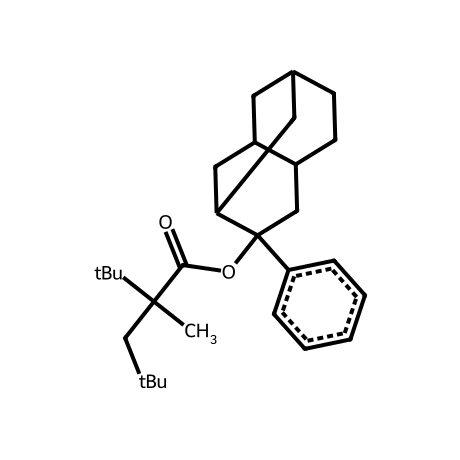 CC(C)(C)CC(C)(C(=O)OC1(c2ccccc2)CC2CCC3CC2CC1C3)C(C)(C)C